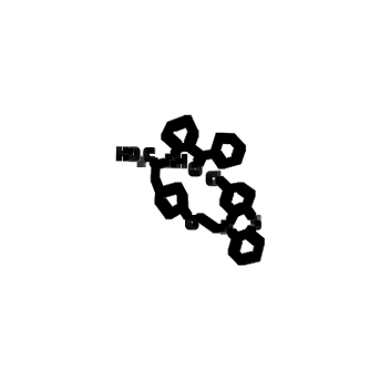 O=C(c1ccccc1)c1ccccc1NC(Cc1ccc(OCCN2c3ccccc3Sc3ccc(Cl)cc32)cc1)C(=O)O